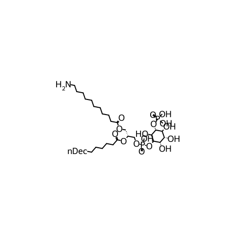 CCCCCCCCCCCCCCCC(=O)O[C@H](COC(=O)CCCCCCCCCCN)COP(=O)(O)OC1C(O)[C@H](OP(=O)(O)O)C(O)[C@H](O)[C@@H]1O